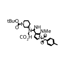 CNc1c(C(=N)N(CC(=O)O)[C@@H]2CCCN(C(=O)OC(C)(C)C)C2)ccn1S(=O)(=O)c1ccc(C)cc1